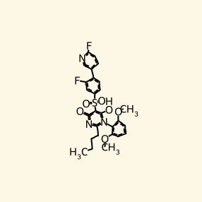 CCCCc1nc(=O)c(S(=O)(=O)c2ccc(-c3ccc(F)nc3)c(F)c2)c(O)n1-c1c(OC)cccc1OC